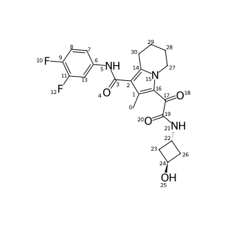 Cc1c(C(=O)Nc2ccc(F)c(F)c2)c2n(c1C(=O)C(=O)N[C@H]1C[C@H](O)C1)CCCC2